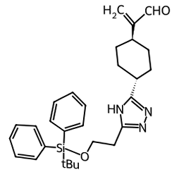 C=C(C=O)[C@H]1CC[C@H](c2nnc(CCO[Si](c3ccccc3)(c3ccccc3)C(C)(C)C)[nH]2)CC1